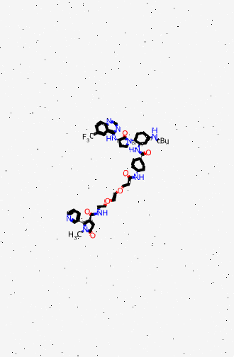 CN1C(=O)C[C@H](C(=O)NCCOCCOCCC(=O)N[C@H]2CC[C@@H](C(=O)N[C@@H]3C[C@H](NC(C)(C)C)CC[C@@H]3N3CC[C@H](Nc4ncnc5ccc(C(F)(F)F)cc45)C3=O)CC2)[C@H]1c1cccnc1